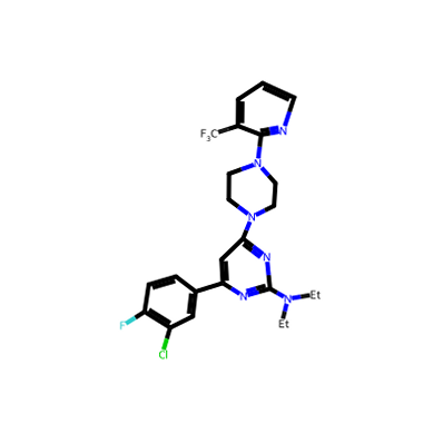 CCN(CC)c1nc(-c2ccc(F)c(Cl)c2)cc(N2CCN(c3ncccc3C(F)(F)F)CC2)n1